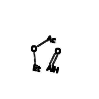 CCOC(C)=O.[O]=[AlH]